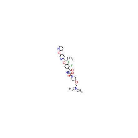 CC[C@@H](Oc1ccc(C(=O)NS(=O)(=O)N2CCC(OCCN(C)C)CC2)c(F)c1F)c1ccc(Oc2ccccn2)cn1